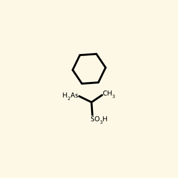 C1CCCCC1.CC([AsH2])S(=O)(=O)O